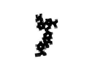 Cc1cc(OCc2c(-c3ccccc3OC(F)(F)F)noc2C(C)C)ccc1N(C)S(=O)(=O)c1cccc(C(=O)O)c1